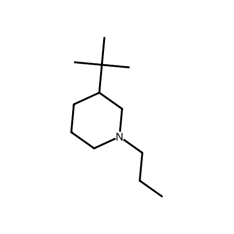 CCCN1CCCC(C(C)(C)C)C1